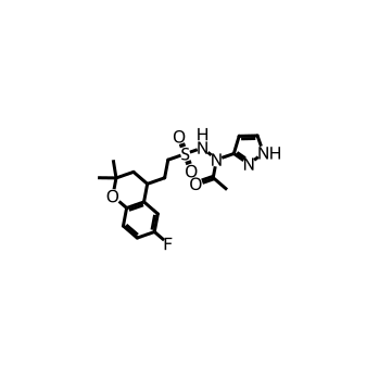 CC(=O)N(NS(=O)(=O)CCC1CC(C)(C)Oc2ccc(F)cc21)c1cc[nH]n1